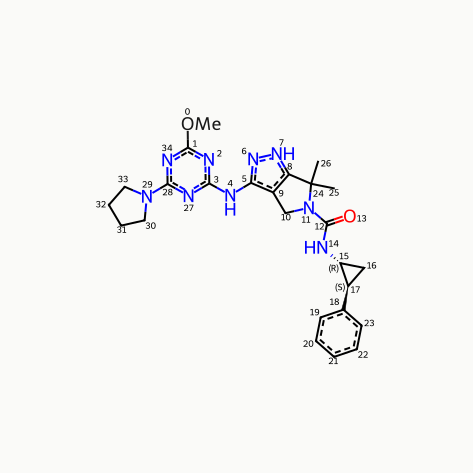 COc1nc(Nc2n[nH]c3c2CN(C(=O)N[C@@H]2C[C@H]2c2ccccc2)C3(C)C)nc(N2CCCC2)n1